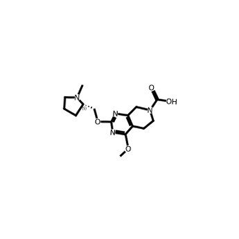 COc1nc(OC[C@@H]2CCCN2C)nc2c1CCN(C(=O)O)C2